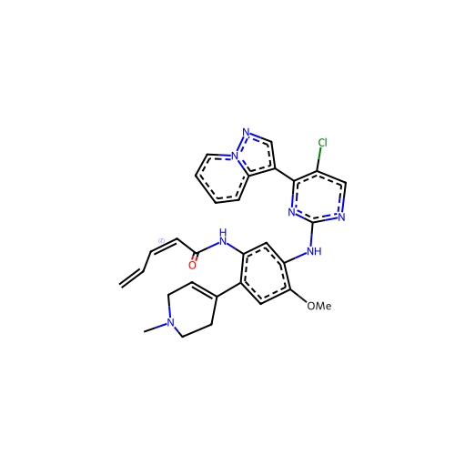 C=C/C=C\C(=O)Nc1cc(Nc2ncc(Cl)c(-c3cnn4ccccc34)n2)c(OC)cc1C1=CCN(C)CC1